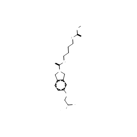 CC(C)(C)OC(=O)NCCCCNC(=N)N1Cc2ccc(OC[C@@H](O)C(=O)O)cc2C1